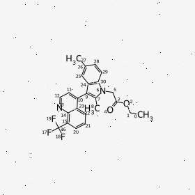 CCOC(=O)Cn1c(C)c(-c2ccnc3c(C(F)(F)F)cccc23)c2cc(C)ccc21